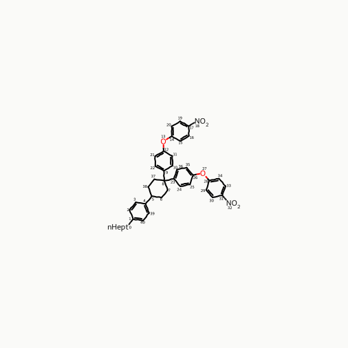 CCCCCCCc1ccc(C2CCC(c3ccc(Oc4ccc([N+](=O)[O-])cc4)cc3)(c3ccc(Oc4ccc([N+](=O)[O-])cc4)cc3)CC2)cc1